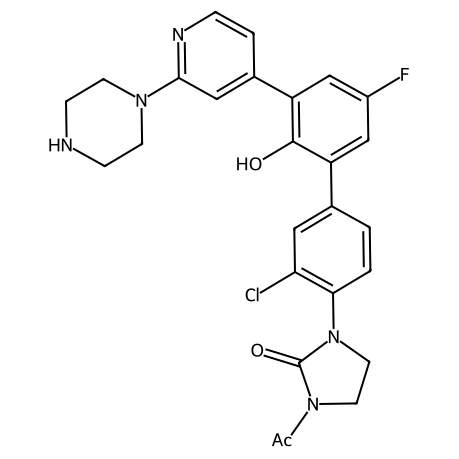 CC(=O)N1CCN(c2ccc(-c3cc(F)cc(-c4ccnc(N5CCNCC5)c4)c3O)cc2Cl)C1=O